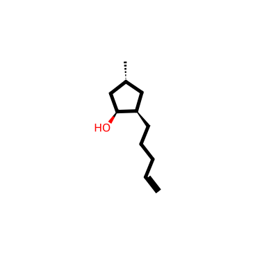 C=CCCC[C@@H]1C[C@@H](C)C[C@@H]1O